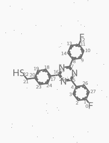 Fc1ccc(-c2nc(-c3ccc(F)cc3)nc(-c3ccc(CS)cc3)n2)cc1